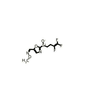 CO/N=C\c1cnc([S+]([O-])CCC(F)=C(F)F)o1